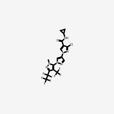 Cn1nc(C(F)(F)C(F)(F)F)c(C(F)(F)F)c1-n1cc(-n2cc(C(=O)NC3CC3)c(Cl)n2)cn1